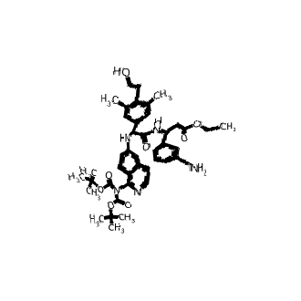 CCOC(=O)CC(NC(=O)C(Nc1ccc2c(N(C(=O)OC(C)(C)C)C(=O)OC(C)(C)C)nccc2c1)c1cc(C)c(CCO)c(C)c1)c1cccc(N)c1